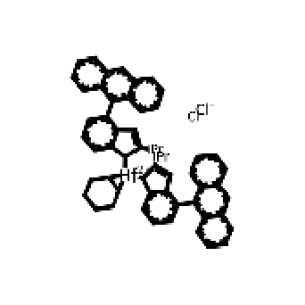 CC(C)C1=Cc2c(-c3c4ccccc4cc4ccccc34)cccc2[CH]1[Hf+2]1([CH]2C(C(C)C)=Cc3c(-c4c5ccccc5cc5ccccc45)cccc32)[CH]2CCCC[CH]21.[Cl-].[Cl-]